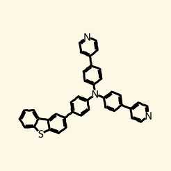 c1ccc2c(c1)sc1ccc(-c3ccc(N(c4ccc(-c5ccncc5)cc4)c4ccc(-c5ccncc5)cc4)cc3)cc12